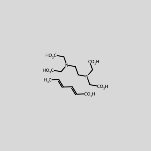 CC=CC=CC(=O)O.O=C(O)CN(CCN(CC(=O)O)CC(=O)O)CC(=O)O